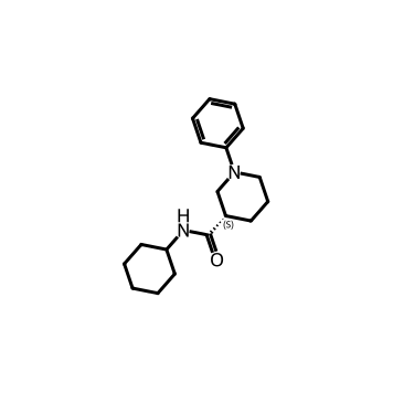 O=C(NC1CCCCC1)[C@H]1CCCN(c2ccccc2)C1